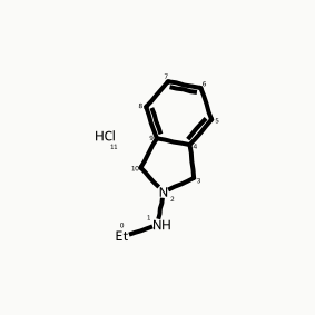 CCNN1Cc2ccccc2C1.Cl